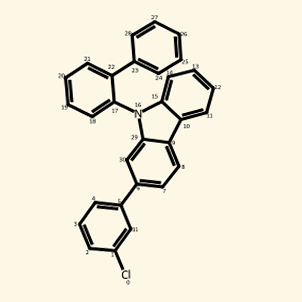 Clc1cccc(-c2ccc3c4ccccc4n(-c4ccccc4-c4ccccc4)c3c2)c1